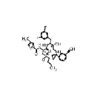 C#Cc1cccc(C2(NC[C@@H](O)[C@H](Cc3cc(F)cc(F)c3)NC(=O)[C@@H](CS(=O)(=O)CCCC)NC(=O)n3cc(C)cn3)CC2)c1